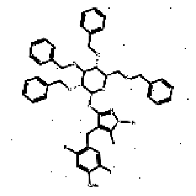 COc1cc(F)c(Cc2c(O[C@@H]3O[C@H](COCc4ccccc4)[C@@H](OCc4ccccc4)[C@H](OCc4ccccc4)[C@H]3OCc3ccccc3)nn(C(C)C)c2C)cc1F